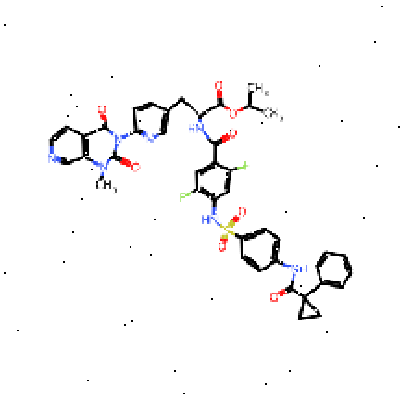 CC(C)OC(=O)[C@H](Cc1ccc(-n2c(=O)c3ccncc3n(C)c2=O)nc1)NC(=O)c1cc(F)c(NS(=O)(=O)c2ccc(NC(=O)C3(c4ccccc4)CC3)cc2)cc1F